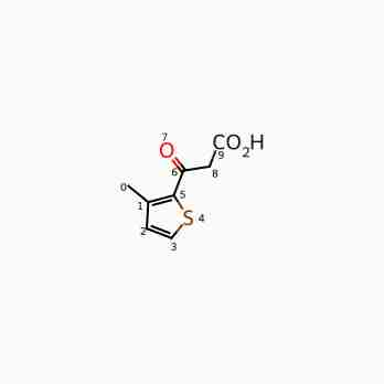 Cc1ccsc1C(=O)CC(=O)O